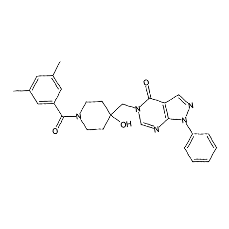 Cc1cc(C)cc(C(=O)N2CCC(O)(Cn3cnc4c(cnn4-c4ccccc4)c3=O)CC2)c1